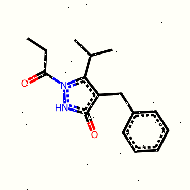 CCC(=O)n1[nH]c(=O)c(Cc2ccccc2)c1C(C)C